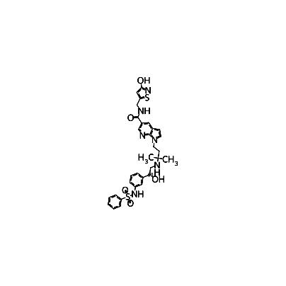 CC(C)(CCn1ccc2cc(C(=O)NCc3cc(O)ns3)cnc21)NC[C@H](O)c1cccc(NS(=O)(=O)c2ccccc2)c1